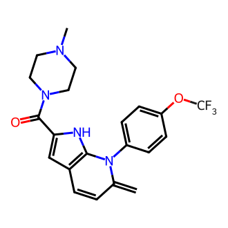 C=C1C=Cc2cc(C(=O)N3CCN(C)CC3)[nH]c2N1c1ccc(OC(F)(F)F)cc1